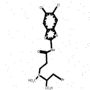 CC(C)CC(C(=O)O)N(CCC(=O)Nc1nc2cc(Cl)c(Cl)cc2s1)C(=O)O